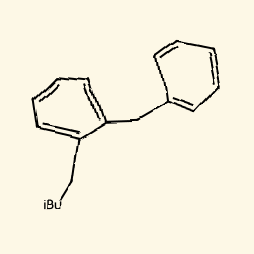 CCC(C)Cc1ccccc1Cc1ccccc1